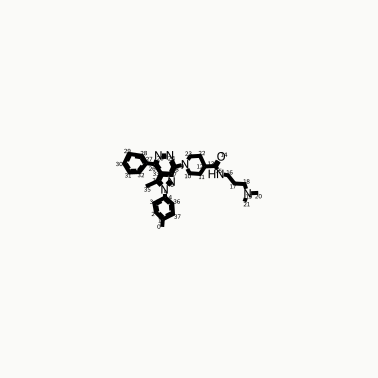 Cc1ccc(-n2nc3c(N4CCC(C(=O)NCCCN(C)C)CC4)nnc(-c4ccccc4)c3c2C)cc1